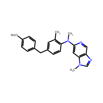 COc1ccc(Cc2ccc(N(C)c3cc4c(cn3)ncn4C)c(C)c2)cc1